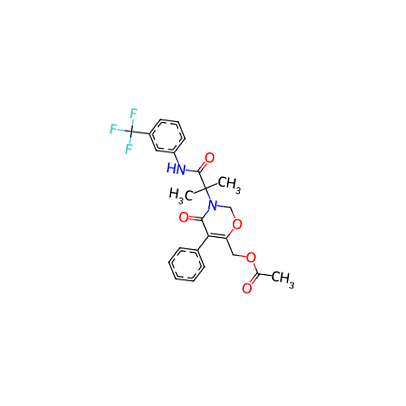 CC(=O)OCC1=C(c2ccccc2)C(=O)N(C(C)(C)C(=O)Nc2cccc(C(F)(F)F)c2)CO1